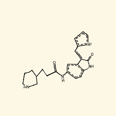 O=C(CCC1CCCNC1)Nc1ccc2c(c1)C(=Cc1ccc[nH]1)C(=O)N2